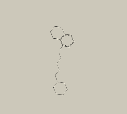 c1cc(OCCCCN2CCCCC2)c2c(c1)OCCC2